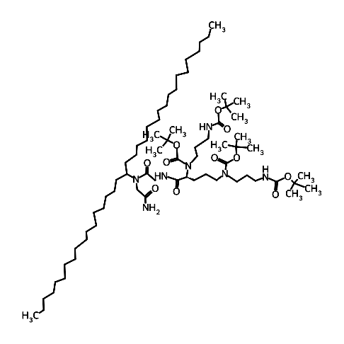 CCCCCCCCCCCCCCCCCC(CCCCCCCCCCCCCCCCC)N(CC(N)=O)C(=O)CNC(=O)[C@H](CCCN(CCCNC(=O)OC(C)(C)C)C(=O)OC(C)(C)C)N(CCCNC(=O)OC(C)(C)C)C(=O)OC(C)(C)C